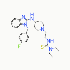 CCN(CC)C(=S)NCCN1CCC(Nc2nc3ccccc3n2Cc2ccc(F)cc2)CC1